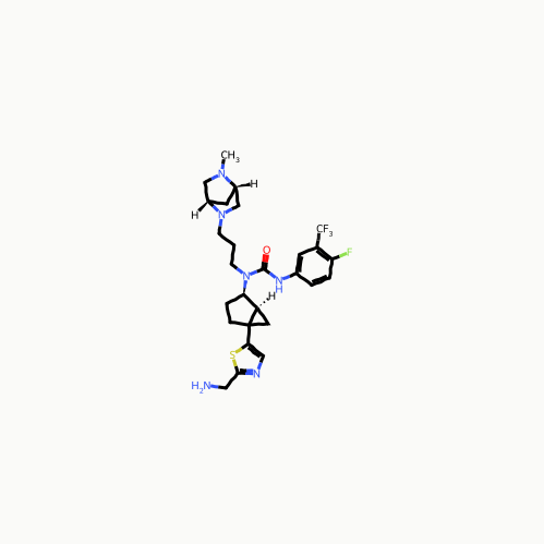 CN1C[C@@H]2C[C@H]1CN2CCCN(C(=O)Nc1ccc(F)c(C(F)(F)F)c1)[C@@H]1CCC2(c3cnc(CN)s3)C[C@H]12